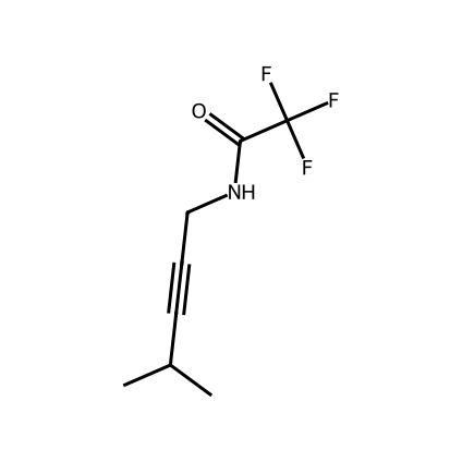 CC(C)C#CCNC(=O)C(F)(F)F